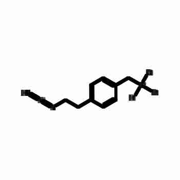 CC[N+](CC)(CC)Cc1ccc(CCN=[N+]=N)cc1